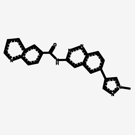 Cn1cc(-c2ccc3nnc(NC(=O)c4ccc5ncccc5c4)cc3c2)cn1